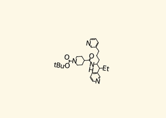 CCC(c1cccnc1)C(CCCc1cccnc1)NC(=O)C1CCN(C(=O)OC(C)(C)C)CC1